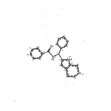 O=C(NC(c1ccccc1)c1cc2ccncc2[nH]1)c1ccccc1